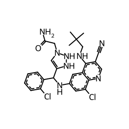 CC(C)(C)CNc1c(C#N)cnc2c(Cl)cc(NC(C3=CN(CC(N)=O)NN3)c3ccccc3Cl)cc12